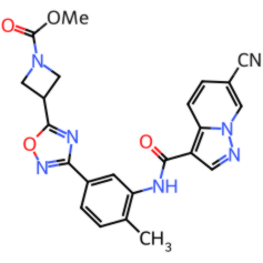 COC(=O)N1CC(c2nc(-c3ccc(C)c(NC(=O)c4cnn5cc(C#N)ccc45)c3)no2)C1